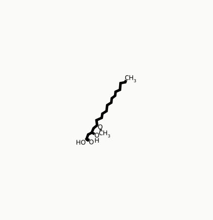 CCCCCCCCCCCCCC(CC(O)CC(=O)O)OC